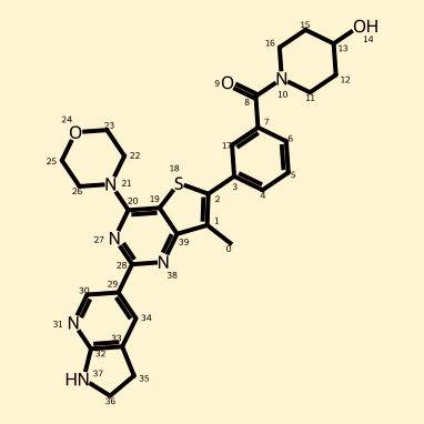 Cc1c(-c2cccc(C(=O)N3CCC(O)CC3)c2)sc2c(N3CCOCC3)nc(-c3cnc4c(c3)CCN4)nc12